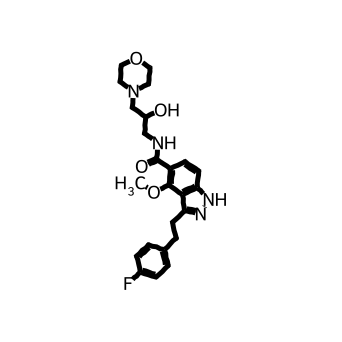 COc1c(C(=O)NCC(O)CN2CCOCC2)ccc2[nH]nc(CCc3ccc(F)cc3)c12